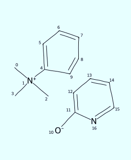 C[N+](C)(C)c1ccccc1.[O-]c1ccccn1